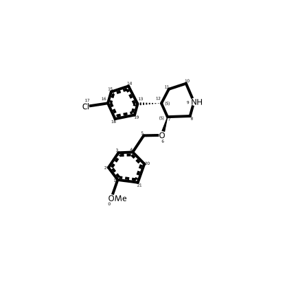 COc1ccc(CO[C@@H]2CNCC[C@H]2c2ccc(Cl)cc2)cc1